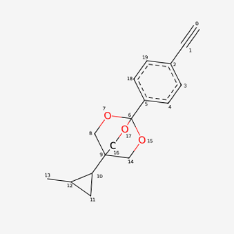 C#Cc1ccc(C23OCC(C4CC4C)(CO2)CO3)cc1